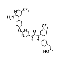 CC(O)Cc1cccc(-c2ccc(C(F)(F)F)cc2NC(=O)Nc2cnc(Oc3ccc(-c4cc(C(F)(F)F)cnc4N)cc3)nc2)c1